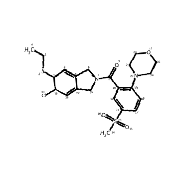 CCSC1C=C2CN(C(=O)c3cc(S(C)(=O)=O)ccc3N3CCOCC3)CC2=CC1Cl